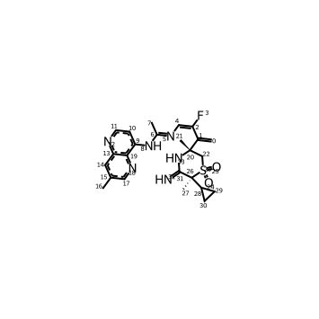 C=C(/C(F)=C\N=C(/C)Nc1ccnc2cc(C)cnc12)[C@]1(C)CS(=O)(=O)[C@@](C)(C2CC2)C(=N)N1